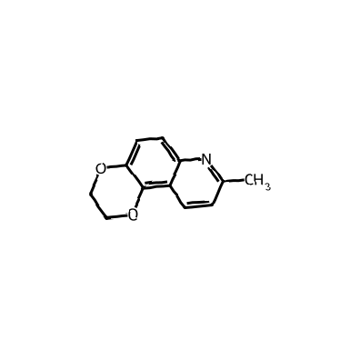 Cc1ccc2c3c(ccc2n1)OCCO3